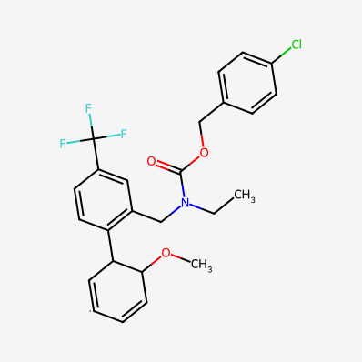 CCN(Cc1cc(C(F)(F)F)ccc1C1C=[C]C=CC1OC)C(=O)OCc1ccc(Cl)cc1